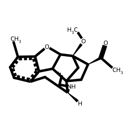 CO[C@]12CC3(C[C@@H]1C(C)=O)[C@H]1Cc4ccc(C)c5c4[C@@]3(CCN1)C2O5